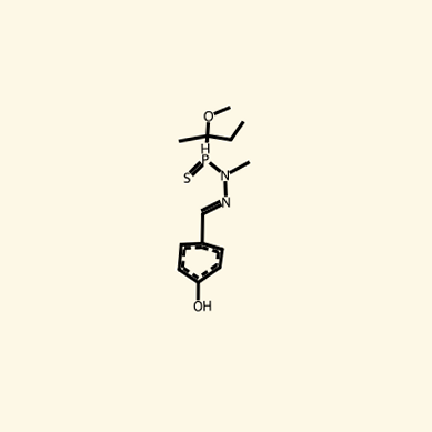 CCC(C)(OC)[PH](=S)N(C)N=Cc1ccc(O)cc1